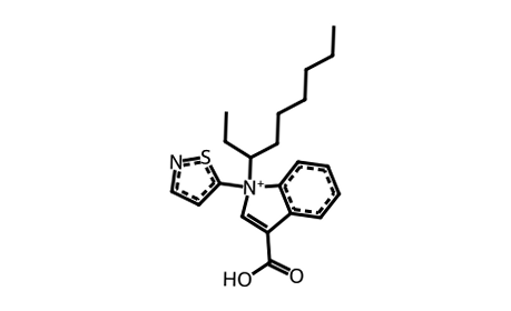 CCCCCCC(CC)[N+]1(c2ccns2)C=C(C(=O)O)c2ccccc21